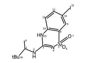 CC(NC1=NS(=O)(=O)c2cc(I)ccc2N1)C(C)(C)C